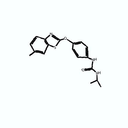 Cc1ccc2nc(Oc3ccc(NC(=O)NC(C)C)cc3)sc2c1